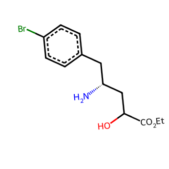 CCOC(=O)C(O)C[C@H](N)Cc1ccc(Br)cc1